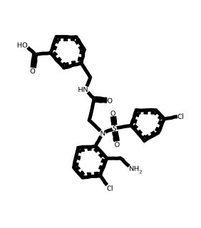 NCc1c(Cl)cccc1N(CC(=O)NCc1cccc(C(=O)O)c1)S(=O)(=O)c1ccc(Cl)cc1